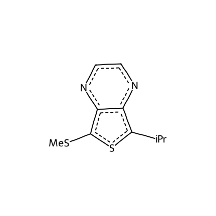 CSc1sc(C(C)C)c2nccnc12